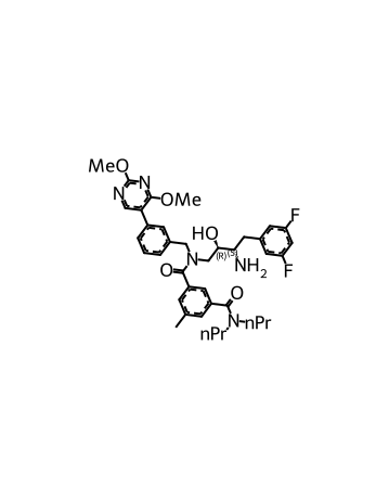 CCCN(CCC)C(=O)c1cc(C)cc(C(=O)N(Cc2cccc(-c3cnc(OC)nc3OC)c2)C[C@@H](O)[C@@H](N)Cc2cc(F)cc(F)c2)c1